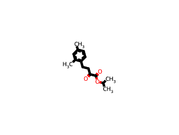 Cc1ccc(CCC(=O)C(=O)OC(C)C)c(C)c1